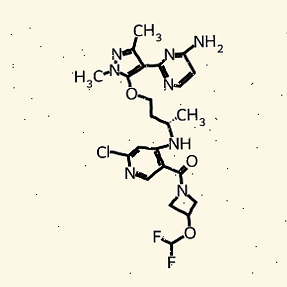 Cc1nn(C)c(OCC[C@H](C)Nc2cc(Cl)ncc2C(=O)N2CC(OC(F)F)C2)c1-c1nccc(N)n1